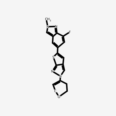 Cn1cc2cc(-c3cc4cn(C5=CCOCC5)nc4s3)cc(F)c2n1